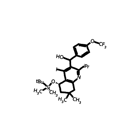 CC(C)c1nc2c(c(I)c1C(O)c1ccc(OC(F)(F)F)cc1)[C@@H](O[Si](C)(C)C(C)(C)C)CC(C)(C)C2